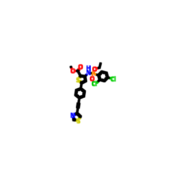 CCOP(=O)(Nc1cc(-c2ccc(C#Cc3cscn3)cc2)sc1C(=O)OC)c1ccc(Cl)cc1Cl